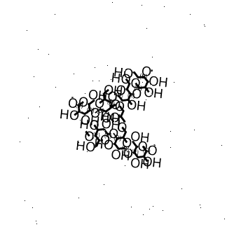 CO[C@H]1OC(CO)[C@H](O[C@H]2OC(COCC(O)COC3C(O)[C@@H](O[C@H]4OC(CO)[C@@H](OC)C(O)C4O)C(CO)O[C@@H]3O[C@]34OC3C(O)[C@@H](O[C@H]3C(CO)O[C@H](OC)C(O)C3O)OC4CO)[C@H](O[C@H]3OC(CO)[C@H](OC)C(O)C3O)C(O)C2O)C(O)C1O